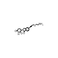 NCCOCC#Cc1ccc2c(c1)CN(C1CCC(=O)NC1=O)C2=O